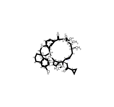 CO[C@@]1(CC(=O)C2CC2)/C=C/C[C@H](C)[C@@H](C)S(=O)(=O)NC(=O)c2ccc3c(c2)N(C[C@@H]2CC[C@H]21)C[C@@]1(CCCc2cc(Cl)ccc21)CO3